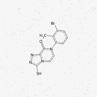 Cc1c(Br)cccc1-n1ccn2c(S)nnc2c1=O